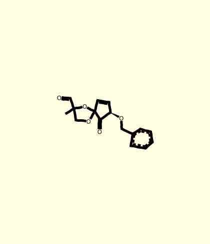 CC1(C=O)COC2(C=C[C@@H](OCc3ccccc3)C2=O)O1